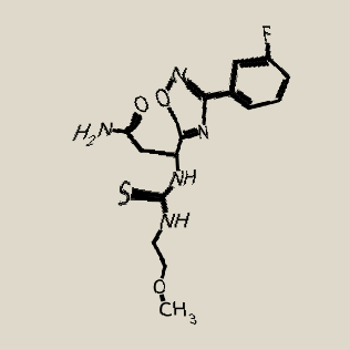 COCCNC(=S)NC(CC(N)=O)c1nc(-c2cccc(F)c2)no1